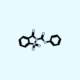 O=C(Oc1ccccc1)N1C(=O)c2ccccc2S1(=O)=O